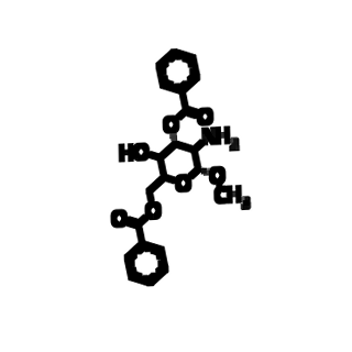 CO[C@@H]1OC(COC(=O)c2ccccc2)C(O)[C@H](OC(=O)c2ccccc2)C1N